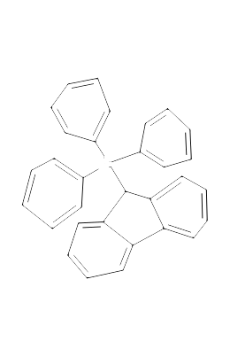 c1ccc([Si](c2ccccc2)(c2ccccc2)C2c3ccccc3-c3ccccc32)cc1